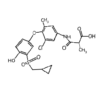 Cc1cc(NC(=O)C(C)C(=O)O)cc(Cl)c1Oc1ccc(O)c(S(=O)(=O)CC2CC2)c1